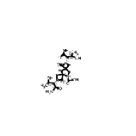 CC(=O)N1CC2(CN([C@H](C(N)=O)[C@@H](C)O)C2=O)CC12CN([C@H](C(N)=O)[C@@H](C)O)C2=O